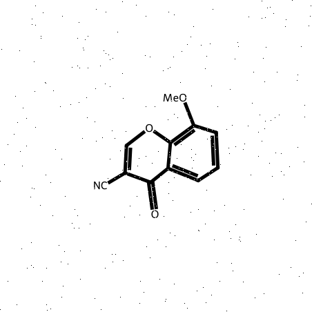 COc1cccc2c(=O)c(C#N)coc12